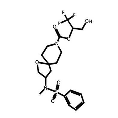 CN(C1COC2(CCN(C(=O)OC(CO)C(F)(F)F)CC2)C1)S(=O)(=O)c1ccccc1